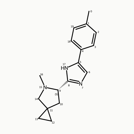 Cc1ccc(-c2cnc([C@@H]3CC4(CC4)CN3C)[nH]2)cc1